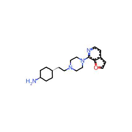 N[C@H]1CC[C@H](CCN2CCN(c3nccc4ccoc34)CC2)CC1